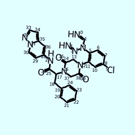 N=CN(N=N)c1ccc(Cl)cc1N1CC(=O)N(C(Cc2ccccc2)C(=O)Nc2ccn3nccc3c2)CC1=O